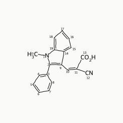 Cn1c(-c2ccccc2)c(C=C(C#N)C(=O)O)c2ccccc21